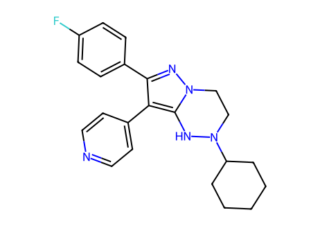 Fc1ccc(-c2nn3c(c2-c2ccncc2)NN(C2CCCCC2)CC3)cc1